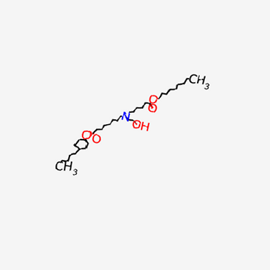 CCCCCCCCCOC(=O)CCCCCN(CCO)CCCCCCCC(=O)OC1CCC(CCCCC)CC1